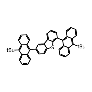 CC(C)(C)c1c2ccccc2c(-c2ccc3sc4c(-c5c6ccccc6c(C(C)(C)C)c6ccccc56)cccc4c3c2)c2ccccc12